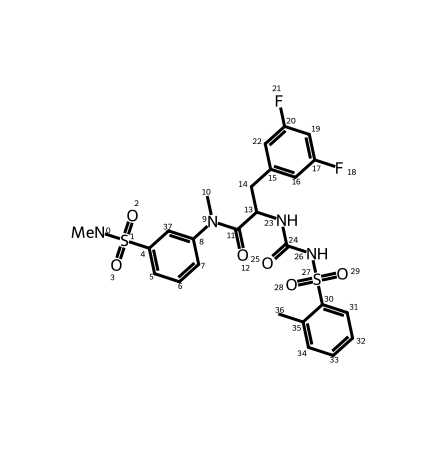 CNS(=O)(=O)c1cccc(N(C)C(=O)C(Cc2cc(F)cc(F)c2)NC(=O)NS(=O)(=O)c2ccccc2C)c1